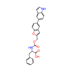 O=C(NC(Cc1ccccc1)C(=O)O)OCc1cc2cc(-c3ccc4[nH]ccc4c3)ccc2o1